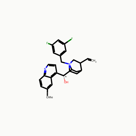 C=CC1C[N+]2(Cc3cc(F)cc(F)c3)CCC1CC2[C@H](O)c1ccnc2ccc(OC)cc12